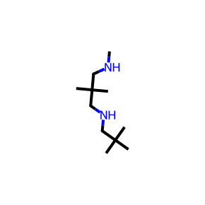 CNCC(C)(C)CNCC(C)(C)C